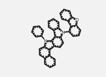 c1ccc(-n2c3ccc4ccccc4c3c3ccc4c(c5ccccc5n4-c4cccc5oc6ccccc6c45)c32)cc1